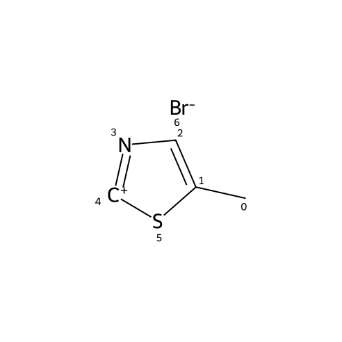 CC1=CN=[C+]S1.[Br-]